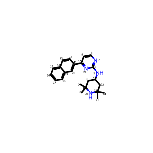 CC1(C)CC(Nc2nccc(-c3ccc4ccccc4c3)n2)CC(C)(C)N1